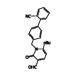 CCCCc1ccc(C=O)c(=O)n1Cc1ccc(-c2ccccc2C#N)cc1